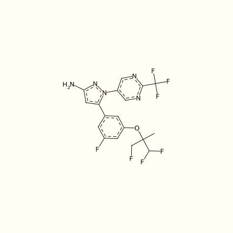 CC(CF)(Oc1cc(F)cc(-c2cc(N)nn2-c2cnc(C(F)(F)F)nc2)c1)C(F)F